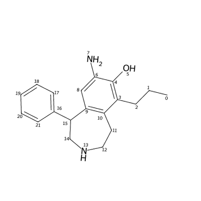 CCCc1c(O)c(N)cc2c1CCNCC2c1ccccc1